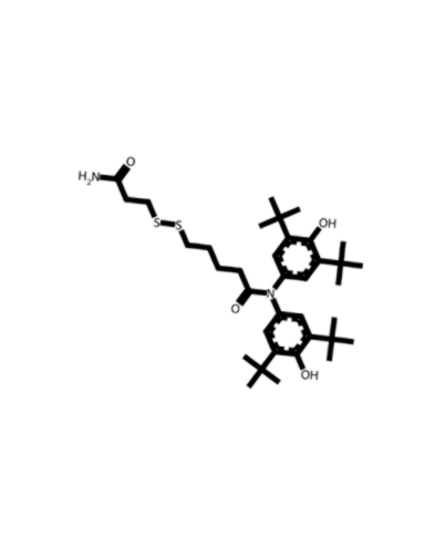 CC(C)(C)c1cc(N(C(=O)CCCCSSCCC(N)=O)c2cc(C(C)(C)C)c(O)c(C(C)(C)C)c2)cc(C(C)(C)C)c1O